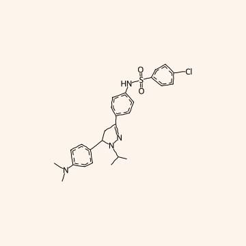 CC(C)N1N=C(c2ccc(NS(=O)(=O)c3ccc(Cl)cc3)cc2)CC1c1ccc(N(C)C)cc1